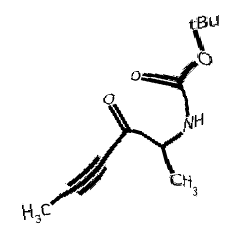 CC#CC(=O)C(C)NC(=O)OC(C)(C)C